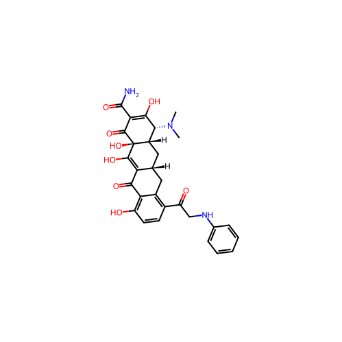 CN(C)[C@H]1C(O)=C(C(N)=O)C(=O)[C@@]2(O)C(O)=C3C(=O)c4c(O)ccc(C(=O)CNc5ccccc5)c4C[C@H]3C[C@@H]12